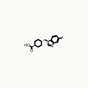 O=C(O)[C@H]1CC[C@H](Cn2cnc3cc(F)ccc32)CC1